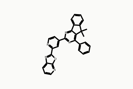 CC1(C)c2ccccc2-c2nc(-c3ccnc(-c4nc5cccnc5o4)c3)nc(-c3ccccc3)c21